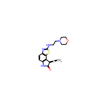 C=C=C1C(=O)Nc2ccc3nc(NCCN4CCOCC4)sc3c21